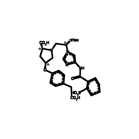 CCCCCC[C@H](CN1C[C@@H](Oc2ccc(CC(=O)O)cc2)C[C@H]1C(=O)O)n1cnc(NC(=O)c2ccccc2S(=O)(=O)O)c1